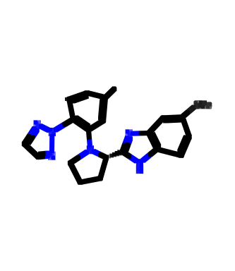 CSc1ccc2[nH]c([C@@H]3CCCN3c3cc(C)c[c]c3-n3nccn3)nc2c1